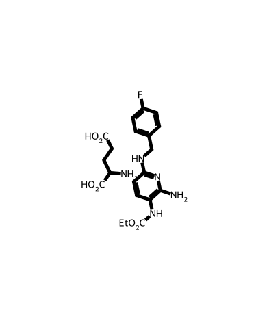 CCOC(=O)Nc1ccc(NCc2ccc(F)cc2)nc1N.NC(CCC(=O)O)C(=O)O